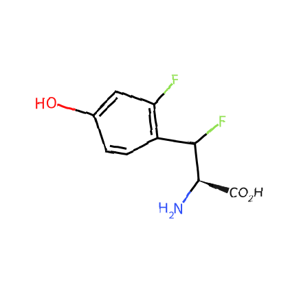 N[C@H](C(=O)O)C(F)c1ccc(O)cc1F